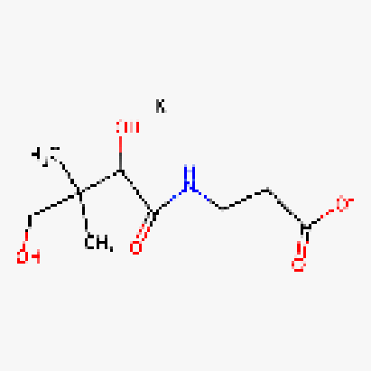 CC(C)(CO)C(O)C(=O)NCCC(=O)[O-].[K+]